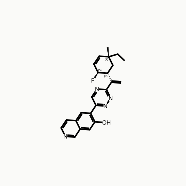 C=C(c1ncc(-c2cc3ccncc3cc2O)nn1)[C@H]1C[C@@](C)(CC)C=C[C@@H]1F